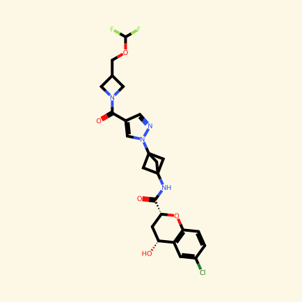 O=C(NC12CC(n3cc(C(=O)N4CC(COC(F)F)C4)cn3)(C1)C2)[C@H]1C[C@@H](O)c2cc(Cl)ccc2O1